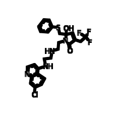 O=C1C(CC(F)(F)F)=CC(O)(CSc2ccccc2)N1CCNCCNc1ccnc2cc(Cl)ccc12